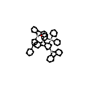 c1ccc(-c2ccc(-n3c4ccccc4c4cccc(-n5c6ccccc6c6cc(-n7c8ccccc8c8ccccc87)cc([Si](c7ccccc7)(c7ccccc7)c7ccccc7)c65)c43)cc2)cc1